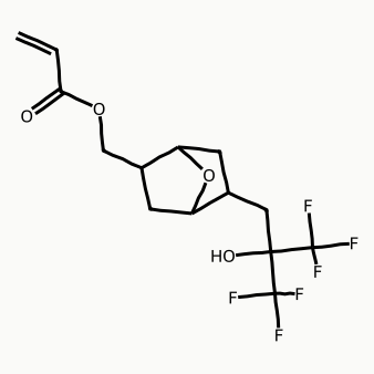 C=CC(=O)OCC1CC2OC1CC2CC(O)(C(F)(F)F)C(F)(F)F